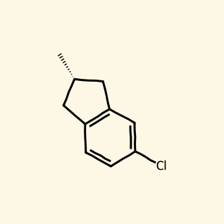 C[C@H]1Cc2ccc(Cl)cc2C1